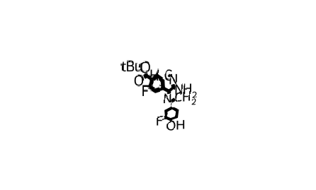 C=C(/N=C(\C(N)=N/C)c1ccc(C(=O)OC(C)(C)C)c(F)c1)[C@@H]1CC[C@@H](O)[C@H](F)C1